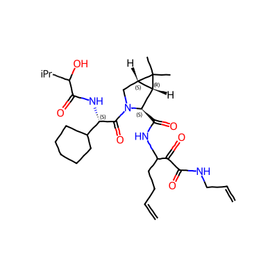 C=CCCC(NC(=O)[C@@H]1[C@@H]2[C@H](CN1C(=O)[C@@H](NC(=O)C(O)C(C)C)C1CCCCC1)C2(C)C)C(=O)C(=O)NCC=C